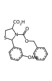 COc1cccc(C2SCC(C(=O)O)N2C(=O)OCc2ccccc2)c1